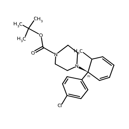 CC1C=CC=C[C@@]1(c1ccc(Cl)cc1)N1CCN(C(=O)OC(C)(C)C)CC1